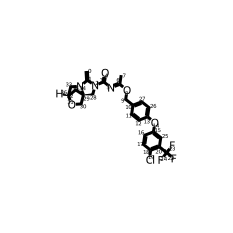 C=C1N(C(=O)/N=C(\C)OCc2ccc(Oc3ccc(Cl)c(C(F)(F)F)c3)cc2)C[C@]23CO[C@H](CN12)C3